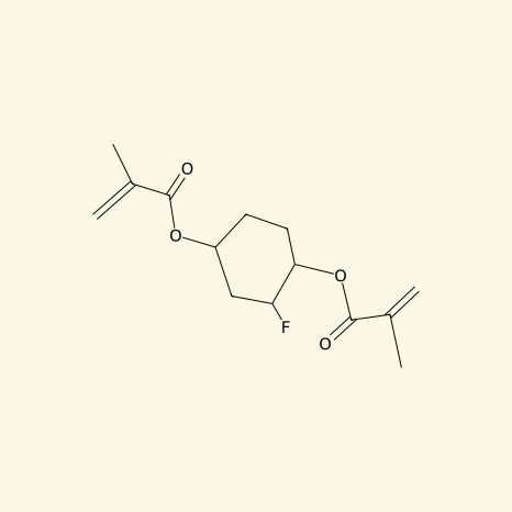 C=C(C)C(=O)OC1CCC(OC(=O)C(=C)C)C(F)C1